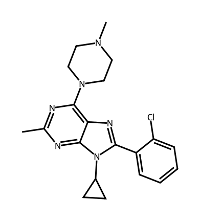 Cc1nc(N2CCN(C)CC2)c2nc(-c3ccccc3Cl)n(C3CC3)c2n1